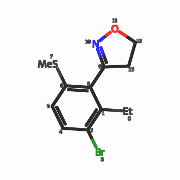 CCc1c(Br)ccc(SC)c1C1=NOCC1